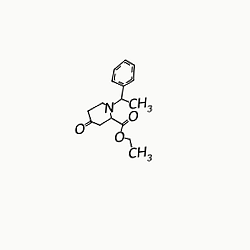 CCOC(=O)C1CC(=O)CCN1C(C)c1ccccc1